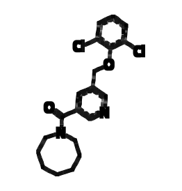 O=C(c1cncc(COc2c(Cl)cccc2Cl)c1)N1CCCCCCC1